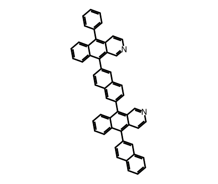 c1ccc(-c2c3ccccc3c(-c3ccc4cc(-c5c6ccccc6c(-c6ccc7ccccc7c6)c6ccncc56)ccc4c3)c3cnccc23)cc1